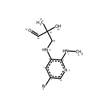 CNc1ncc(Br)cc1NCC(C)(O)C=O